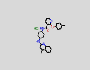 Cc1ccc(Oc2ncccc2C(=O)NC2CCC(Nc3cc(C)c4ccccc4n3)CC2)cc1.Cl